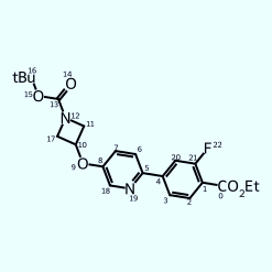 CCOC(=O)c1ccc(-c2ccc(OC3CN(C(=O)OC(C)(C)C)C3)cn2)cc1F